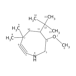 COC1CNC#CC(C)(C)CC1C(C)(C)C